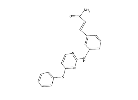 NC(=O)C=Cc1cccc(Nc2nccc(Sc3ccccc3)n2)c1